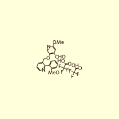 COc1cc(C=O)c(OCc2cccnc2-c2ccccc2OC)cn1.O=C(O)C(F)(F)F.O=C(O)C(F)(F)F